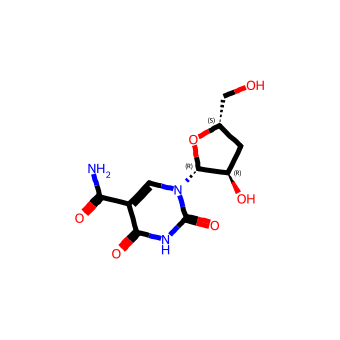 NC(=O)c1cn([C@@H]2O[C@H](CO)C[C@H]2O)c(=O)[nH]c1=O